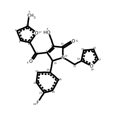 Cc1ccc(C(=O)C2=C(O)C(=O)N(Cc3ccco3)C2c2ccc(F)cc2)o1